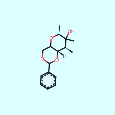 C[C@@H]1OC2COC(c3ccccc3)O[C@H]2[C@H](C)C1(C)O